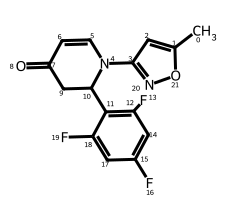 Cc1cc(N2C=CC(=O)CC2c2c(F)cc(F)cc2F)no1